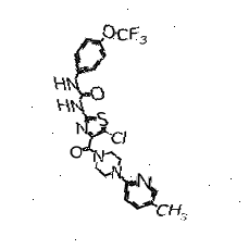 Cc1ccc(N2CCN(C(=O)c3nc(NC(=O)Nc4ccc(OC(F)(F)F)cc4)sc3Cl)CC2)nc1